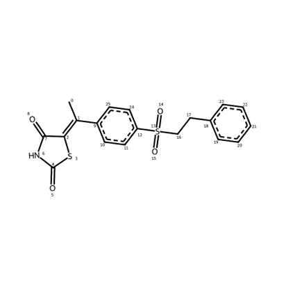 CC(=C1SC(=O)NC1=O)c1ccc(S(=O)(=O)CCc2ccccc2)cc1